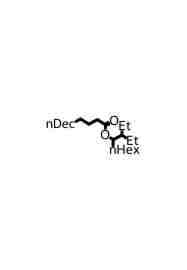 CCCCCCCCCCCCCC(=O)OC(CCCCCC)C(CC)CC